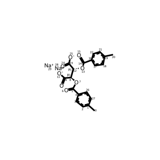 Cc1ccc(C(=O)O[C@@H](C(=O)[O-])[C@@H](OC(=O)c2ccc(C)cc2)C(=O)[O-])cc1.[Na+].[Na+]